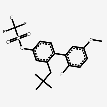 COc1ccc(F)c(-c2ccc(OS(=O)(=O)C(F)(F)F)cc2CC(C)(C)C)c1